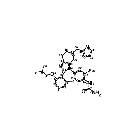 Cc1cccc(OCC(C)C)c1-n1nc2c(c1-c1ccc(NC(N)=O)c(F)c1)CN(Cc1nccs1)CC2